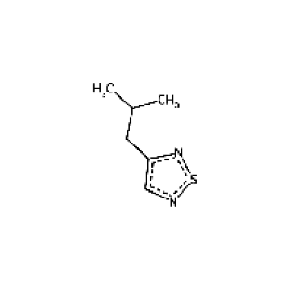 CC(C)Cc1cnsn1